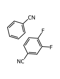 N#Cc1ccc(F)c(F)c1.N#Cc1ccccc1